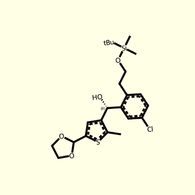 Cc1sc(C2OCCO2)cc1[C@H](O)c1cc(Cl)ccc1CCO[Si](C)(C)C(C)(C)C